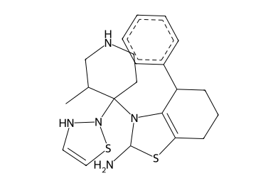 CC1CNCCC1(N1NC=CS1)N1C2=C(CCCC2c2ccccc2)SC1N